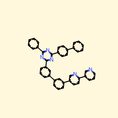 c1ccc(-c2ccc(-c3nc(-c4ccccc4)nc(-c4cccc(-c5cccc(-c6ccc(-c7cccnc7)nc6)c5)c4)n3)cc2)cc1